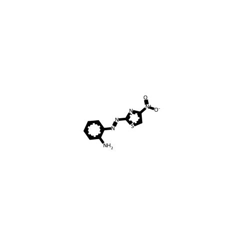 Nc1ccccc1N=Nc1nc([N+](=O)[O-])cs1